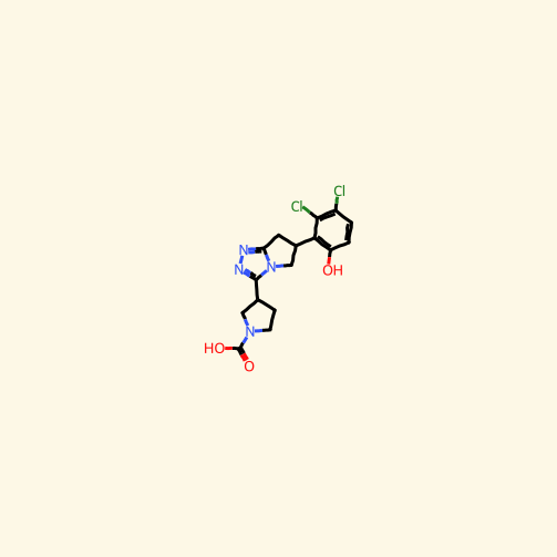 O=C(O)N1CCC(c2nnc3n2CC(c2c(O)ccc(Cl)c2Cl)C3)C1